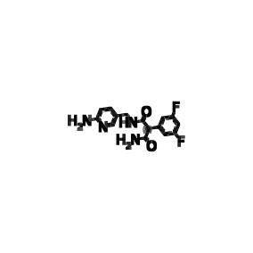 NC(=O)[C@@H](C(=O)NCc1ccc(N)nc1)c1cc(F)cc(F)c1